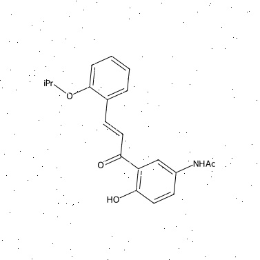 CC(=O)Nc1ccc(O)c(C(=O)C=Cc2ccccc2OC(C)C)c1